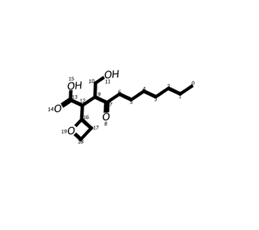 CCCCCCCC(=O)C(CO)C(C(=O)O)C1CCO1